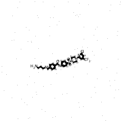 NCCCNCc1ccc(C(=O)Nc2ccc(S(=O)(=O)N3CCN(c4cc(C(F)(F)F)cc(Cl)n4)CC3)cc2)cc1